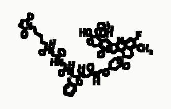 CC[C@]1(O)c2cc3n(c(=O)c2COC1O)Cc1c-3nc2cc(F)c(C)c3c2c1[C@@H](N1CCC(OCNC(=O)CNC(=O)[C@H](Cc2ccccc2)NC(=O)CNC(=O)CNC(=O)CCCCCN2C(=O)C=CC2=O)CC1=O)CC3